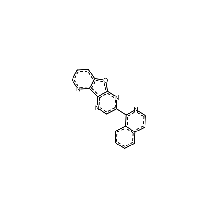 c1ccc2c(-c3cnc4c(n3)oc3cccnc34)nccc2c1